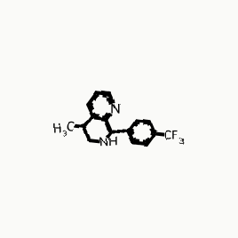 CC1CNC(c2ccc(C(F)(F)F)cc2)c2ncccc21